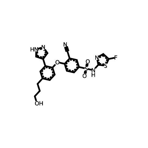 N#Cc1cc(S(=O)(=O)Nc2ncc(F)s2)ccc1Oc1ccc(CCCO)cc1-c1cn[nH]c1